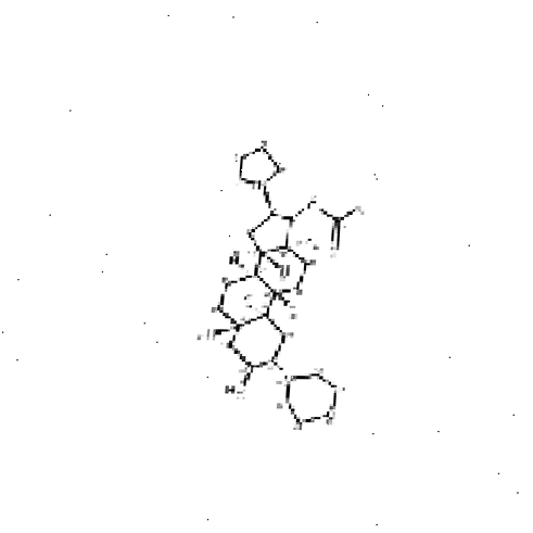 CC(=O)O[C@H]1[C@H](N2CCCC2)C[C@H]2[C@@H]3CC[C@H]4C[C@H](O)[C@@H](N5CCOCC5)C[C@]4(C)[C@H]3CC[C@@]21C